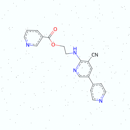 N#Cc1cc(-c2ccncc2)cnc1NCCOC(=O)c1cccnc1